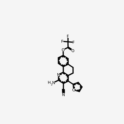 N#Cc1c(N)nc2c(c1-c1ccco1)CCc1cc(OC(=O)C(F)(F)F)ccc1-2